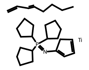 C1=CCC(N=P(C2CCCC2)(C2CCCC2)C2CCCC2)=C1.C=CC=CCCCC.[Ti]